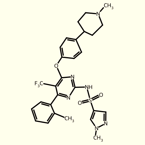 Cc1ccccc1-c1nc(NS(=O)(=O)c2cnn(C)c2)nc(Oc2ccc(C3CCN(C)CC3)cc2)c1C(F)(F)F